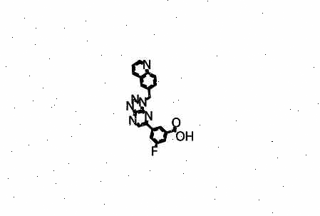 O=C(O)c1cc(F)cc(-c2cnc3nnn(Cc4ccc5ncccc5c4)c3n2)c1